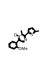 COc1ccccc1-c1cnc(-c2ccc(C)s2)c(C)[n+]1[O-]